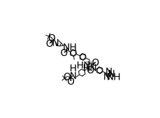 Cc1cc(C(=O)NC2C3CN(C(=O)OC(C)(C)C)CC32)ccc1-c1ccc(C[C@H](NC(=O)C2CCC(CNC(=O)OC(C)(C)C)CC2)C(=O)Nc2ccc(-c3nn[nH]n3)cc2)cc1